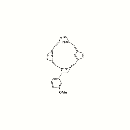 COc1cccc(C2=CC3=CC4=NC(=CC5=NC(=CC6=NC(=CC2=N3)C=C6)C=C5)C=C4)c1